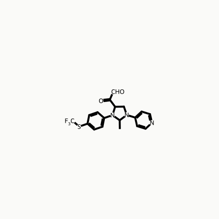 CC1N(c2ccncc2)CC(C(=O)C=O)N1c1ccc(SC(F)(F)F)cc1